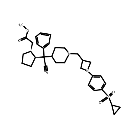 COC(=O)C[C@@H]1CCC[C@@H]1C(C#N)(c1ccccc1)C1CCN(CC2CN(c3ccc(S(=O)(=O)C4CC4)cc3)C2)CC1